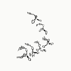 CCCCO[PH](=O)[O-].CCCCO[PH](=O)[O-].CCCCO[PH](=O)[O-].CCCCO[PH](=O)[O-].CCCCO[PH](=O)[O-].CCCCO[PH](=O)[O-].[Mo+6]